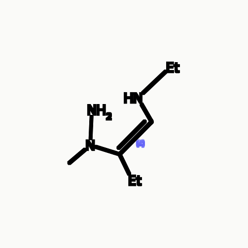 CCN/C=C(/CC)N(C)N